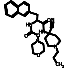 CCCN1CCC(C#N)(NC(=O)C(Cc2ccc3ccccc3c2)NC(=O)ON2CCOCC2)CC1